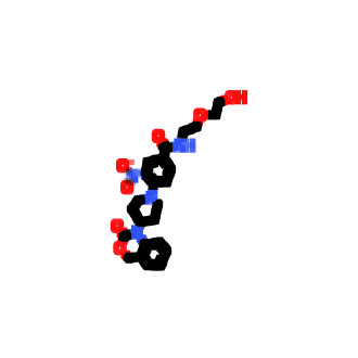 O=C(NCCOCCO)c1ccc(N2CCC(N3C(=O)OCc4ccccc43)CC2)c([N+](=O)[O-])c1